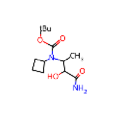 CC(C(O)C(N)=O)N(C(=O)OC(C)(C)C)C1CCC1